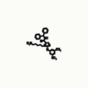 Cc1cc(C)cc(/N=c2\scc(C(=O)NC(c3ccccc3)c3ccccc3)n2CCCCCN)c1